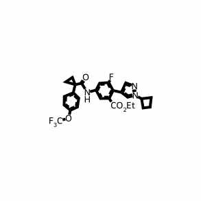 CCOC(=O)c1cc(NC(=O)C2(c3ccc(OC(F)(F)F)cc3)CC2)cc(F)c1-c1cnn(C2CCC2)c1